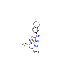 CNC1CC(C)N(C)C(NC(=O)Nc2ccc3c(c2)CCNC3)N1